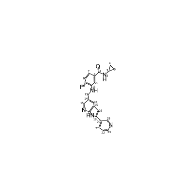 O=C(NC1CC1)c1ccc(F)c(NCc2cnc3[nH]c(-c4cccnc4)cc3c2)c1